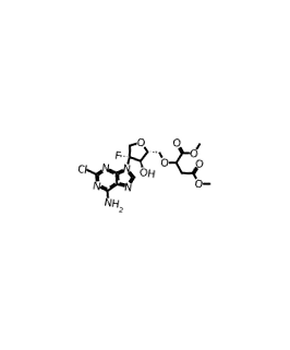 COC(=O)CC(OC[C@H]1OC[C@](F)(n2cnc3c(N)nc(Cl)nc32)[C@@H]1O)C(=O)OC